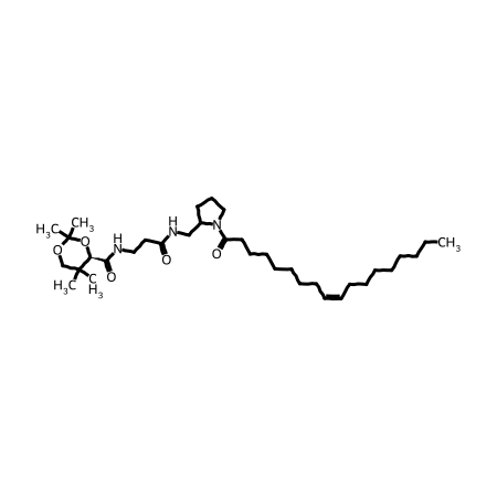 CCCCCCCC/C=C\CCCCCCCC(=O)N1CCCC1CNC(=O)CCNC(=O)[C@@H]1OC(C)(C)OCC1(C)C